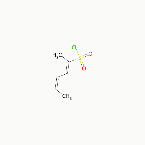 C/C=C\C=C(/C)S(=O)(=O)Cl